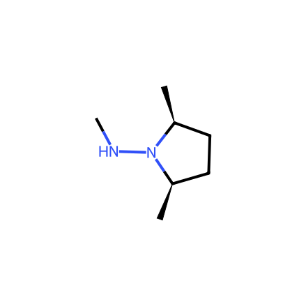 CNN1[C@H](C)CC[C@@H]1C